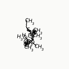 CCCCCCCCC#Cc1ccc(-c2ccc(-c3cc(CC)c(-c4ccc(-c5ccc(-c6cc(OCCCCCC)c(-c7ccc(P(=O)(OCC)OCC)s7)cc6OCCCCCC)s5)s4)cc3CP(=O)(OCC)OCC)s2)s1